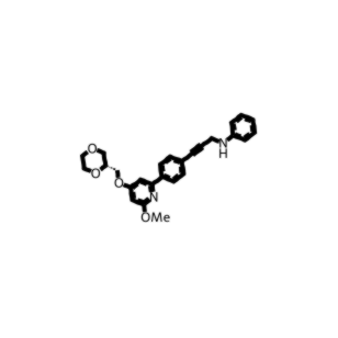 COc1cc(OC[C@H]2COCCO2)cc(-c2ccc(C#CCNc3ccccc3)cc2)n1